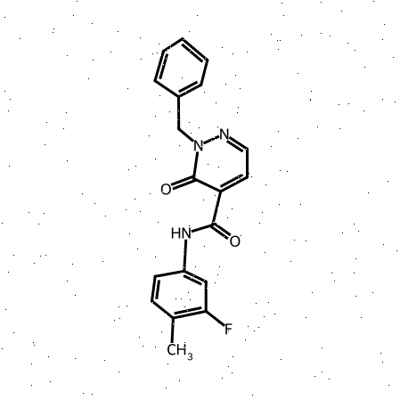 Cc1ccc(NC(=O)c2ccnn(Cc3ccccc3)c2=O)cc1F